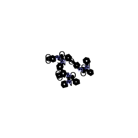 O=C1/C(=C/c2ccc(COc3cccc(N4C(=O)/C(=C/c5ccc6c(c5)OCO6)S/C4=N\c4cccc(-c5cc(/C=C6\S/C(=N\c7ccccc7)N(c7ccccc7)C6=O)cc6c5OCCO6)c4)c3)cc2)S/C(=N\c2ccccc2)N1c1ccccc1